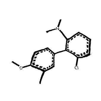 COc1ccc(-c2c(Cl)[c]ccc2N(C)C)cc1C